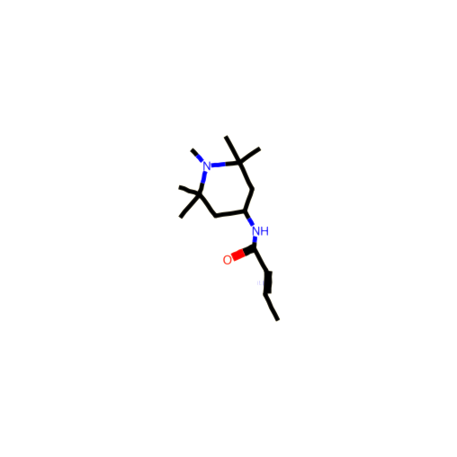 C/C=C/C(=O)NC1CC(C)(C)N(C)C(C)(C)C1